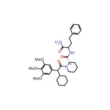 COc1cc(C(C(=O)N2CCCC[C@H]2C(=O)NC(CCc2ccccc2)C(N)=O)C2CCCCC2)cc(OC)c1OC